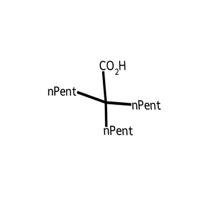 CCCCCC(CCCCC)(CCCCC)C(=O)O